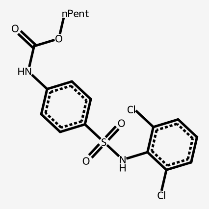 CCCCCOC(=O)Nc1ccc(S(=O)(=O)Nc2c(Cl)cccc2Cl)cc1